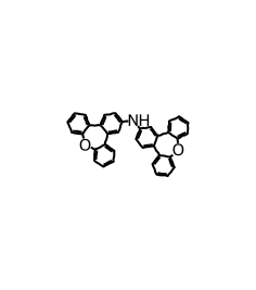 c1ccc2c(c1)Oc1ccccc1-c1cc(Nc3ccc4c(c3)-c3ccccc3Oc3ccccc3-4)ccc1-2